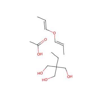 CC(=O)O.CC=COC=CC.CCC(CO)(CO)CO